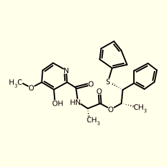 COc1ccnc(C(=O)N[C@@H](C)C(=O)O[C@@H](C)[C@H](Sc2ccccc2)c2ccccc2)c1O